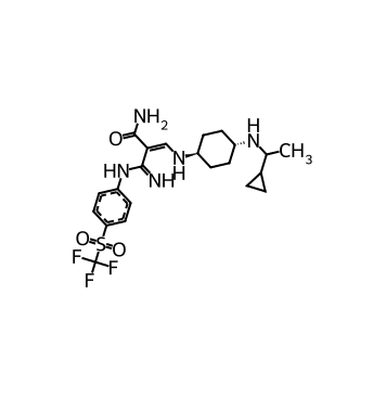 CC(N[C@H]1CC[C@H](N/C=C(\C(=N)Nc2ccc(S(=O)(=O)C(F)(F)F)cc2)C(N)=O)CC1)C1CC1